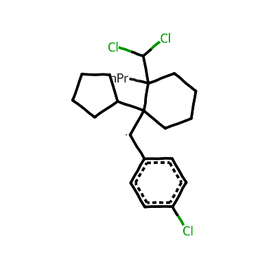 CCCC1(C(Cl)Cl)CCCCC1([CH]c1ccc(Cl)cc1)C1CCCC1